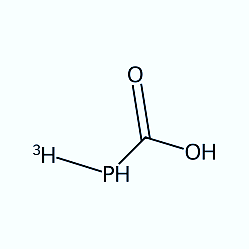 [3H]PC(=O)O